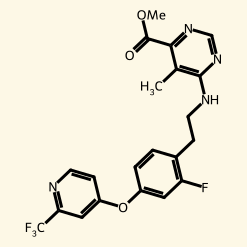 COC(=O)c1ncnc(NCCc2ccc(Oc3ccnc(C(F)(F)F)c3)cc2F)c1C